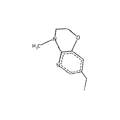 CN1CCOc2cc(CI)cnc21